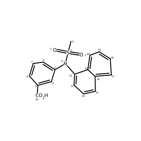 CS(=O)(=O)N(c1cccc(C(=O)O)c1)c1cccc2ccccc12